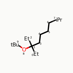 CCC(CC)(CCCCC(C)C)OC(C)(C)C